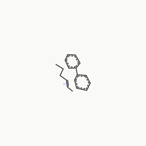 C/C=C/CCC.c1ccc(-c2ccccc2)cc1